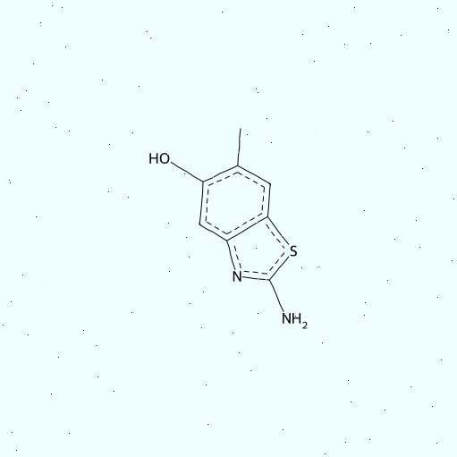 Cc1cc2sc(N)nc2cc1O